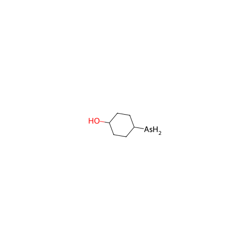 OC1CCC([AsH2])CC1